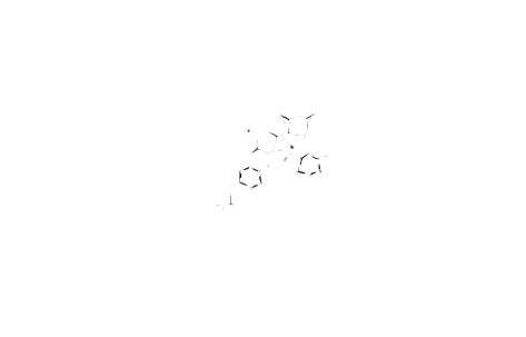 CN(C)C(=O)Oc1ccc(C[C@@H](C(=O)OC(C)(C)C)N(C(=O)C2NCC(=O)SC2=O)S(=O)(=O)c2ccc(F)c(F)c2)cc1